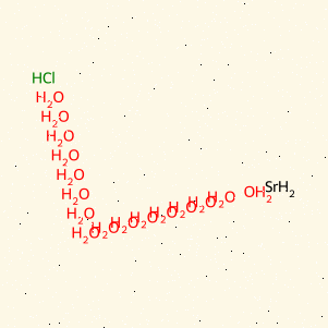 Cl.O.O.O.O.O.O.O.O.O.O.O.O.O.O.O.O.[SrH2]